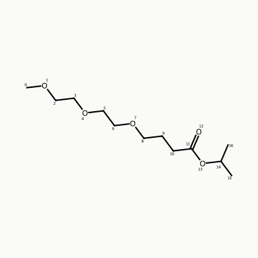 COCCOCCOCCCC(=O)OC(C)C